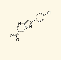 O=[N+]([O-])c1cnc2cc(-c3ccc(Cl)cc3)nn2c1